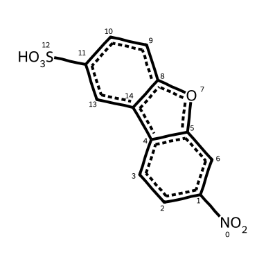 O=[N+]([O-])c1ccc2c(c1)oc1ccc(S(=O)(=O)O)cc12